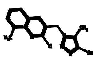 CC(=O)c1nnn(Cc2cc3cccc(C)c3nc2Cl)c1C